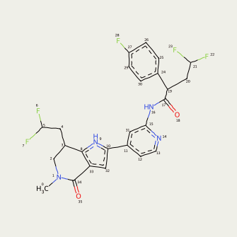 CN1CC(CC(F)F)c2[nH]c(-c3ccnc(NC(=O)C(CC(F)F)c4ccc(F)cc4)c3)cc2C1=O